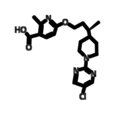 Cc1nc(OCC[C@@H](C)C2CCN(c3ncc(Cl)cn3)CC2)ccc1C(=O)O